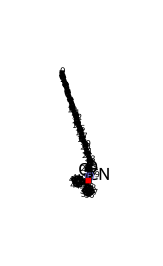 CC#CC#CC#CC#CC#CC#CC#CC#CC#CC#CC#CC#COC(=O)/C(C#N)=C/C=C(c1ccccc1)c1ccccc1